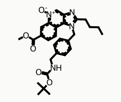 CCCCc1nc2c[n+]([O-])c3cc(C(=O)OC)ccc3c2n1Cc1ccc(CNC(=O)OC(C)(C)C)cc1